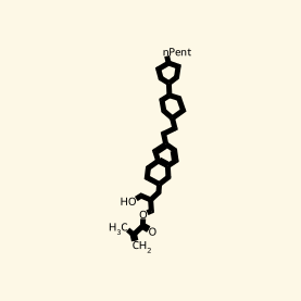 C=C(C)C(=O)OCC(CO)CC1CCc2cc(CCC3CCC(C4CCC(CCCCC)CC4)CC3)ccc2C1